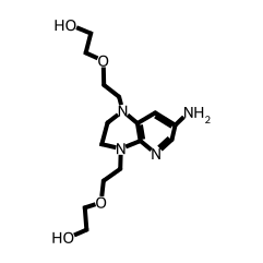 Nc1cnc2c(c1)N(CCOCCO)CCN2CCOCCO